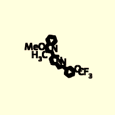 COc1c(C)c(-c2ccc3cc(-c4cccc(OC(F)(F)F)c4)nn3c2)nc2ccccc12